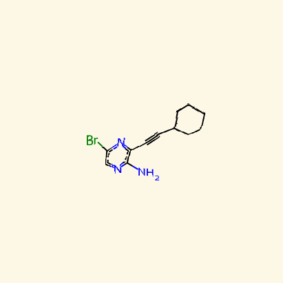 Nc1ncc(Br)nc1C#CC1CCCCC1